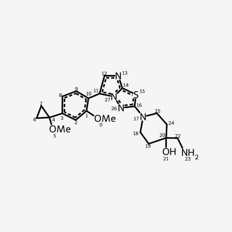 COc1cc(C2(OC)CC2)ccc1-c1cnc2sc(N3CCC(O)(CN)CC3)nn12